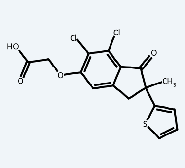 CC1(c2cccs2)Cc2cc(OCC(=O)O)c(Cl)c(Cl)c2C1=O